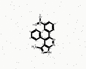 Nc1n[nH]c2nnc(-c3cccc([N+](=O)[O-])c3)c(-c3ccccc3)c12